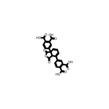 O=C(O)c1ccc(C2=CC=CC3(c4ccc(C(=O)O)c(C(=O)O)c4)C(=O)OC(=O)C23)cc1C(=O)O